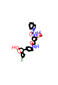 COc1cc(CC(=O)Nc2ccc(C(CC(=O)O)c3ccc(F)cc3)cc2)ccc1NC(=O)N1CCc2ccccc21